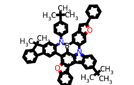 CC(C)(C)c1ccc(N2B3c4cc5cc(-c6ccccc6)oc5cc4-n4c5ccc(C(C)(C)C)cc5c5c6c(oc7ccccc76)c(c3c54)-c3cc4c(cc32)C(C)(C)c2ccccc2-4)cc1